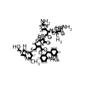 CC1=NC2=CN(CO)NN2C(SCC2=C(C(=O)OC(c3ccccc3)c3ccccc3)N3C(=O)C(NC(=O)/C(=N\OC(C)(C)C(=O)NN)c4csc(N)n4)[C@H]3SC2)=C1.Cl.Cl